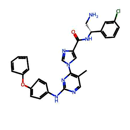 Cc1cnc(Nc2ccc(Oc3ccccc3)cc2)nc1-n1cnc(C(=O)N[C@H](CN)c2cccc(Cl)c2)c1